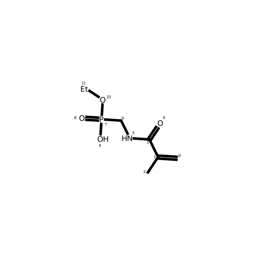 C=C(C)C(=O)NCP(=O)(O)OCC